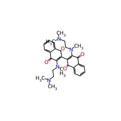 CN(C)CCN(C)C1=C(C2=C(N(C)CCN(C)C)C(=O)c3ccccc3C2=O)C(=O)c2ccccc2C1=O